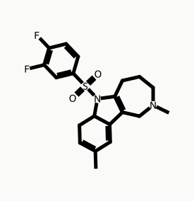 CC1=CCC2C(=C1)C1=C(CCCN(C)C1)N2S(=O)(=O)c1ccc(F)c(F)c1